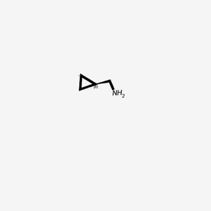 NC[C@@H]1[CH]C1